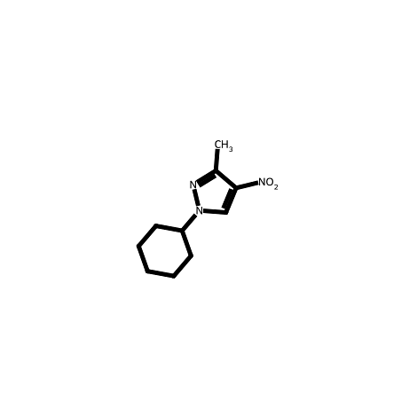 Cc1nn(C2CCCCC2)cc1[N+](=O)[O-]